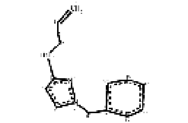 C=CCNc1ccn(Cc2ccccc2)n1